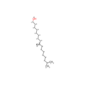 CC(C)CCCCCCCCCCCCCCCO.[KH]